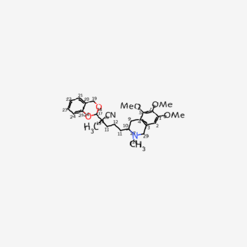 COc1cc2c(c(OC)c1OC)CC(CCCC(C)(C#N)C1OCc3ccccc3O1)N(C)C2